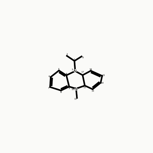 CC(C)N1c2ccccc2N(C)C2C=CC=CC21